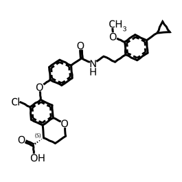 COc1cc(C2CC2)ccc1CCNC(=O)c1ccc(Oc2cc3c(cc2Cl)[C@@H](C(=O)O)CCO3)cc1